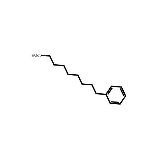 CCCCCCCCCCCCCCC[CH]c1ccccc1